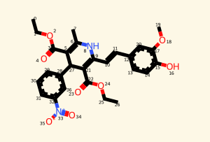 CCOC(=O)C1=C(C)NC(C=Cc2ccc(O)c(OC)c2)=C(C(=O)OCC)C1c1cccc([N+](=O)[O-])c1